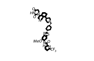 COc1cc2nc([C@H]3CC[C@H](CN4CCC(c5cccc6c(N7CCC(=O)NC7=O)cncc56)CC4)CC3)sc2cc1NC(=O)c1cccc(C(F)(F)F)n1